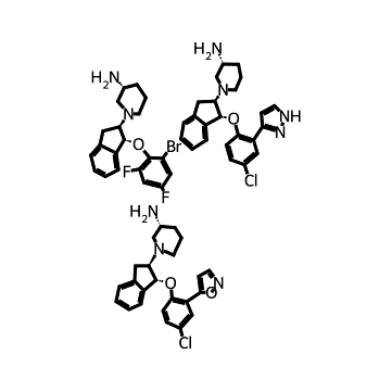 N[C@@H]1CCCN([C@@H]2Cc3ccccc3[C@H]2Oc2c(F)cc(F)cc2Br)C1.N[C@@H]1CCCN([C@@H]2Cc3ccccc3[C@H]2Oc2ccc(Cl)cc2-c2cc[nH]n2)C1.N[C@@H]1CCCN([C@@H]2Cc3ccccc3[C@H]2Oc2ccc(Cl)cc2-c2ccno2)C1